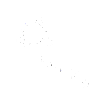 COc1cc2cc(c1Cl)N(C)C(=O)C[C@H](OC(=O)[C@H](C)N(C)C(=O)CCSC(=O)N(C)CCN(C)C(=O)OC1/C=C/CC(OCC(=O)NCCN3C(=O)C=CC3=O)CCC1)[C@]1(C)C[C@H]1[C@H](C)[C@@H]1C[C@@](O)(NC(=O)O1)[C@H](OC)/C=C/C=C(\C)C2